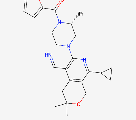 CC(C)[C@@H]1CN(c2nc(C3CC3)c3c(c2C=N)CC(C)(C)OC3)CCN1C(=O)c1ccco1